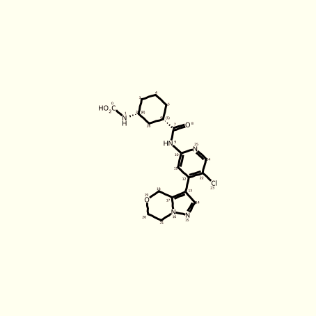 O=C(O)N[C@@H]1CCC[C@H](C(=O)Nc2cc(-c3cnn4c3COCC4)c(Cl)cn2)C1